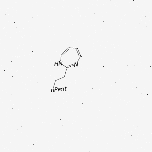 CCCCCCCC1=NC=CC=CN1